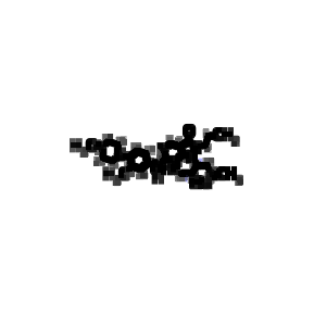 C=CCn1c(=O)c2cnc(Nc3ccc(N4CCN(C)CC4)c(C)c3)nc2n1C(/C=C\C=O)=C/N(C)C(C)(C)C